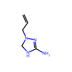 C=CCN1CNC(N)=N1